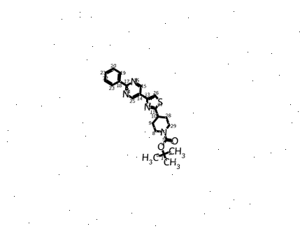 CC(C)(C)OC(=O)N1CCC(c2nc(-c3cnc(-c4ccccc4)nc3)cs2)CC1